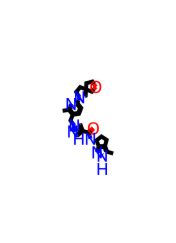 Cc1nc(N2CCC3(CCOC3)C2)ccc1Cn1cc(C(=O)N[C@@H]2CCc3c2n[nH]c3C)cn1